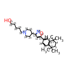 CC1(C)CCC(C)(C)c2cc(-c3cc(C4CCN(CCCCCO)CC4)no3)ccc21